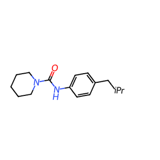 CC(C)Cc1ccc(NC(=O)N2CCCCC2)cc1